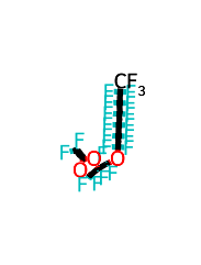 FC(F)=C1OC(F)(F)C(F)(C(F)(F)OC(F)(F)C(F)(F)C(F)(F)C(F)(F)C(F)(F)C(F)(F)C(F)(F)F)O1